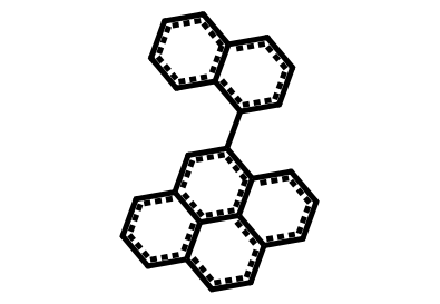 c1ccc2c(-c3cc4cccc5ccc6cccc3c6c54)cccc2c1